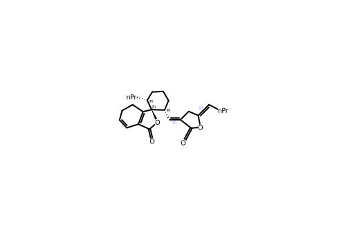 CCC/C=C1/C/C(=C\[C@H]2CCC[C@@H](CCC)[C@]23OC(=O)C2=C3CCC=C2)C(=O)O1